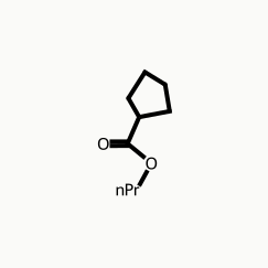 CCCOC(=O)C1CCCC1